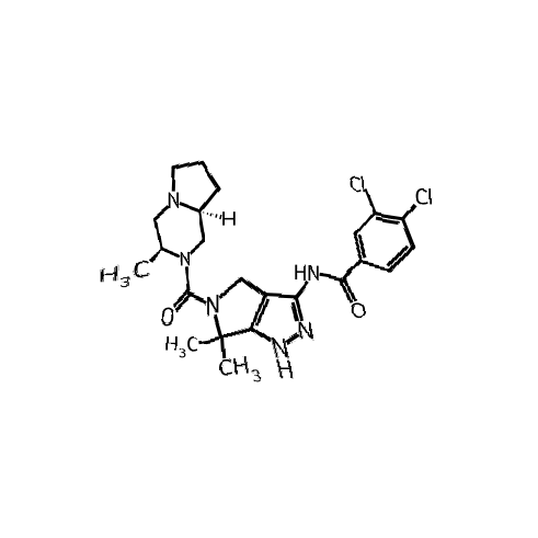 C[C@H]1CN2CCC[C@H]2CN1C(=O)N1Cc2c(NC(=O)c3ccc(Cl)c(Cl)c3)n[nH]c2C1(C)C